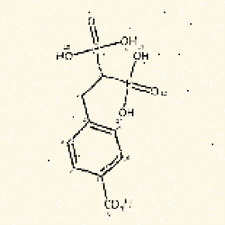 O=C(O)c1ccc(CC(P(=O)(O)O)P(=O)(O)O)cc1